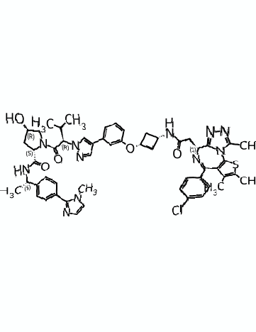 Cc1sc2c(c1C)C(c1ccc(Cl)cc1)=N[C@@H](CC(=O)N[C@H]1C[C@@H](Oc3cccc(-c4cnn([C@@H](C(=O)N5C[C@H](O)C[C@H]5C(=O)N[C@@H](C)c5ccc(-c6nccn6C)cc5)C(C)C)c4)c3)C1)c1nnc(C)n1-2